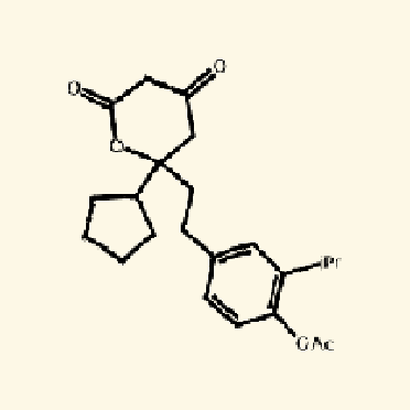 CC(=O)Oc1ccc(CCC2(C3CCCC3)CC(=O)CC(=O)O2)cc1C(C)C